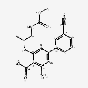 COC(=O)NCC(C)Oc1nc(-c2cccc(C#N)c2)nc(N)c1C(=O)O